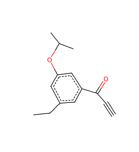 C#CC(=O)c1cc(CC)cc(OC(C)C)c1